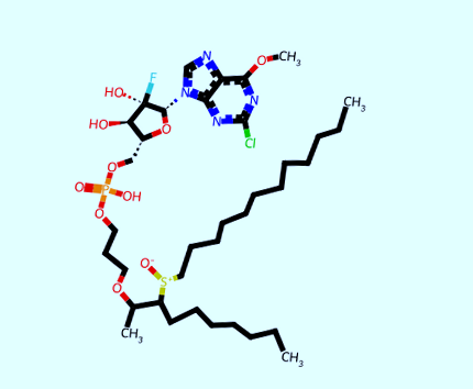 CCCCCCCCCCCC[S+]([O-])C(CCCCCCC)C(C)OCCCOP(=O)(O)OC[C@H]1O[C@@H](n2cnc3c(OC)nc(Cl)nc32)[C@](O)(F)[C@@H]1O